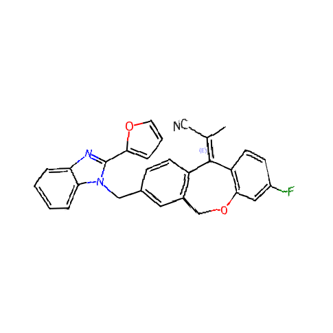 C/C(C#N)=C1/c2ccc(Cn3c(-c4ccco4)nc4ccccc43)cc2COc2cc(F)ccc21